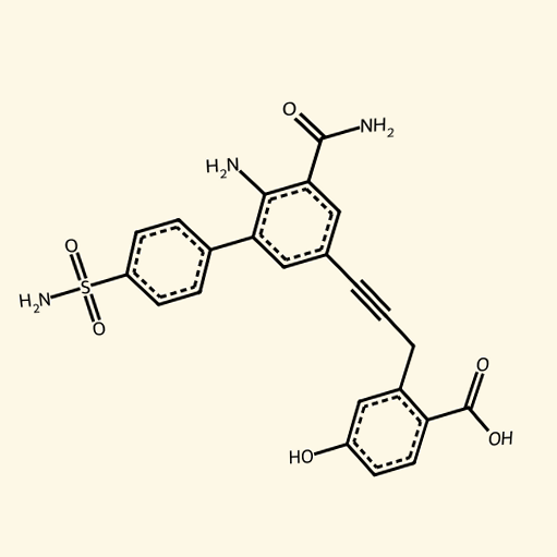 NC(=O)c1cc(C#CCc2cc(O)ccc2C(=O)O)cc(-c2ccc(S(N)(=O)=O)cc2)c1N